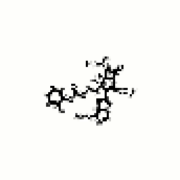 CSc1ncn2cc(C3=C(C(=O)O)N4C(=O)[C@H](C(C)O)[C@@H]4[C@@]3(C)CCOC(=O)Oc3ccccc3C)sc12